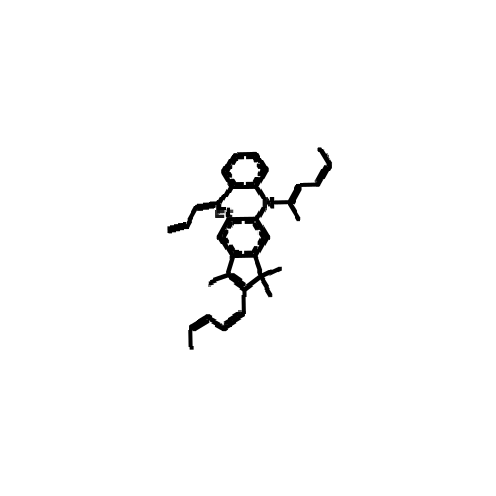 C=C/C=C(\CC)c1ccccc1N(/C(C)=C/C=C\C)c1ccc2c(c1)C(C)(C)C(/C=C\C=C/C)=C2C